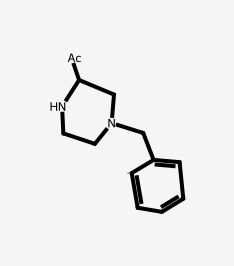 CC(=O)C1CN(Cc2[c]cccc2)CCN1